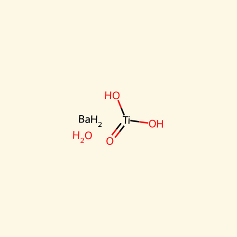 O.[BaH2].[O]=[Ti]([OH])[OH]